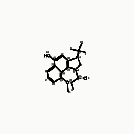 CC[C@@H](Cl)[C@@H]1CN(C(C)(C)C)c2cc(O)c3cccc(OC)c3c21